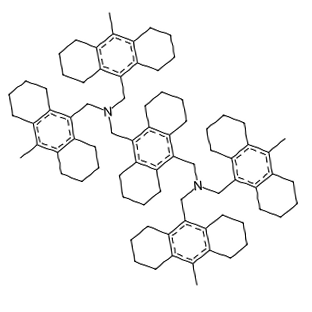 Cc1c2c(c(CN(Cc3c4c(c(C)c5c3CCCC5)CCCC4)Cc3c4c(c(CN(Cc5c6c(c(C)c7c5CCCC7)CCCC6)Cc5c6c(c(C)c7c5CCCC7)CCCC6)c5c3CCCC5)CCCC4)c3c1CCCC3)CCCC2